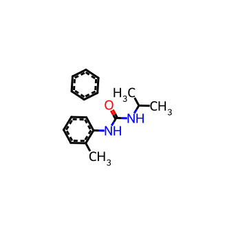 Cc1ccccc1NC(=O)NC(C)C.c1ccccc1